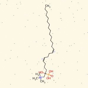 CCCCCCCCCCCCCC/C=C\CC/C=C\CCCC(O)(C[N+](C)(C)C)P(=O)(O)O